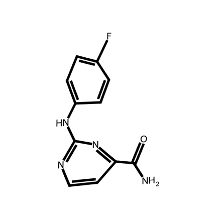 NC(=O)c1ccnc(Nc2ccc(F)cc2)n1